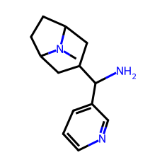 CN1C2CCC1CC(C(N)c1cccnc1)C2